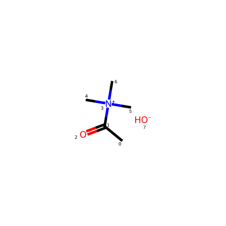 CC(=O)[N+](C)(C)C.[OH-]